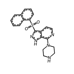 O=S(=O)(c1cccc2ccccc12)c1n[nH]c2c(N3CCNCC3)nccc12